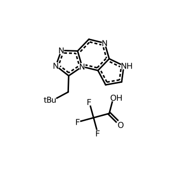 CC(C)(C)Cc1nnc2cnc3[nH]ccc3n12.O=C(O)C(F)(F)F